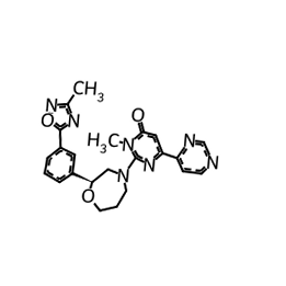 Cc1noc(-c2cccc([C@H]3CN(c4nc(-c5ccncn5)cc(=O)n4C)CCCO3)c2)n1